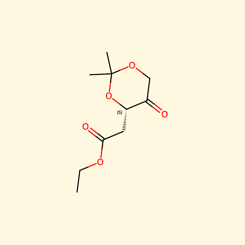 CCOC(=O)C[C@@H]1OC(C)(C)OCC1=O